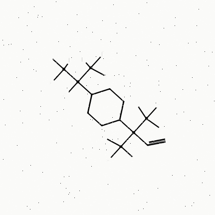 C=CC(C1CCC(C(O)(C(F)(F)F)C(F)(F)F)CC1)(C(F)(F)F)C(F)(F)F